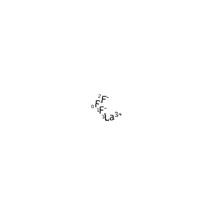 [F-].[F-].[F-].[La+3]